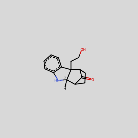 O=C1C2CCC1C1(CCO)c3ccccc3N[C@@H]21